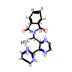 CC(c1nccnc1-c1ncccn1)N1C(=O)c2ccccc2C1=O